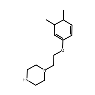 CC1C=CC(OCCN2CCNCC2)=CC1C